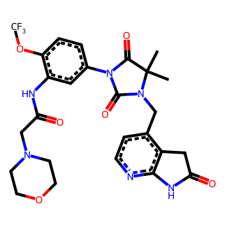 CC1(C)C(=O)N(c2ccc(OC(F)(F)F)c(NC(=O)CN3CCOCC3)c2)C(=O)N1Cc1ccnc2c1CC(=O)N2